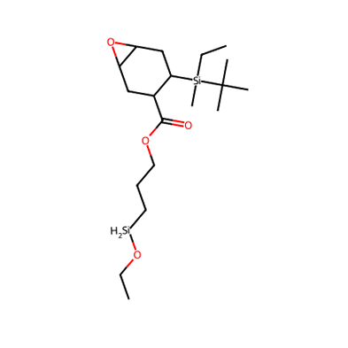 CCO[SiH2]CCCOC(=O)C1CC2OC2CC1[Si](C)(CC)C(C)(C)C